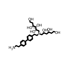 NCCc1ccc(-c2ccc(CCN(C[C@H](O)C[C@H](O)CCO)C[C@H](O)[C@@H](O)[C@H](O)CCO)cc2)cc1